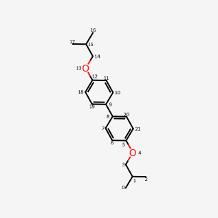 CC(C)COc1ccc(-c2ccc(OCC(C)C)cc2)cc1